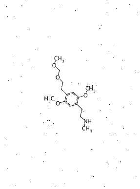 CNCCc1cc(OC)c(CCOCOC)cc1OC